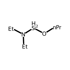 CCCO[SiH2]N(CC)CC